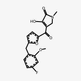 COc1cc(F)ccc1Cc1ccc(C(=O)C2=C(O)C(=O)N(C)C2)o1